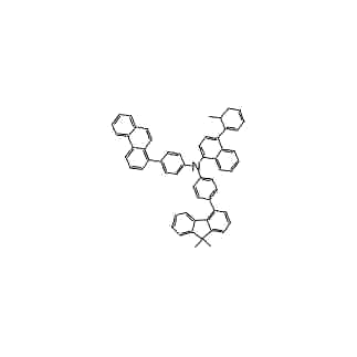 CC1CC=CC=C1c1ccc(N(c2ccc(-c3cccc4c3-c3ccccc3C4(C)C)cc2)c2ccc(-c3cccc4c3ccc3ccccc34)cc2)c2ccccc12